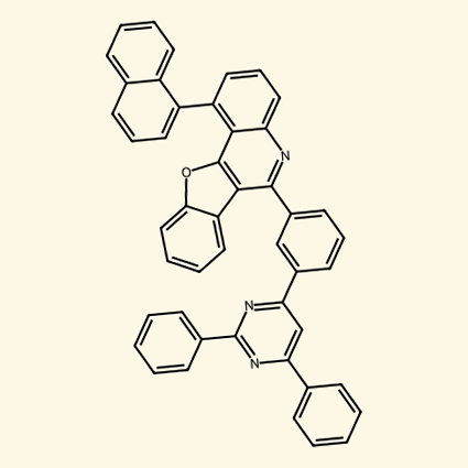 c1ccc(-c2cc(-c3cccc(-c4nc5cccc(-c6cccc7ccccc67)c5c5oc6ccccc6c45)c3)nc(-c3ccccc3)n2)cc1